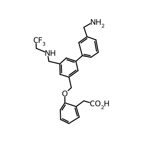 NCc1cccc(-c2cc(CNCC(F)(F)F)cc(COc3ccccc3CC(=O)O)c2)c1